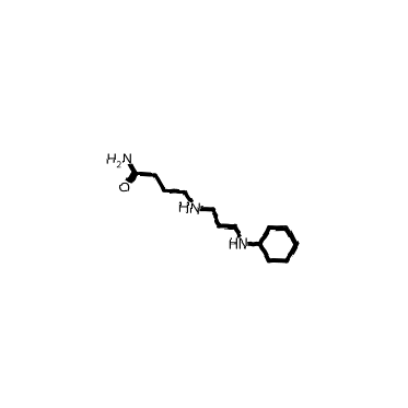 NC(=O)CCCNCCCNC1CCCCC1